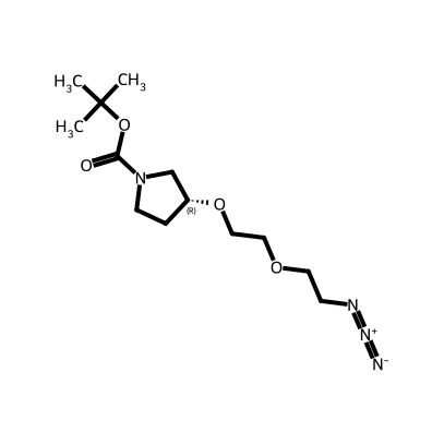 CC(C)(C)OC(=O)N1CC[C@@H](OCCOCCN=[N+]=[N-])C1